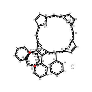 C1=Cc2cc3c(-c4ccccc4)c(-c4ccccc4)c(c(-c4ccccc4)c4nc(cc5ccc(cc1n2)[nH]5)C=C4)n3-c1ccccc1.[P]